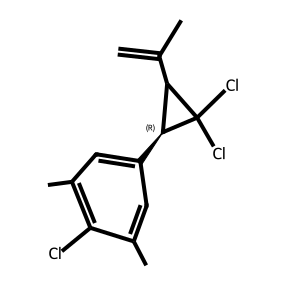 C=C(C)C1[C@H](c2cc(C)c(Cl)c(C)c2)C1(Cl)Cl